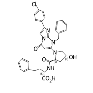 O=C(O)[C@H](CCc1ccccc1)NC(=O)[C@@H]1C[C@@H](O)CN1c1cc(=O)n2cc(-c3ccc(Cl)cc3)nc2n1Cc1ccccc1